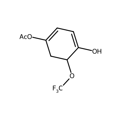 CC(=O)OC1=CC=C(O)C(OC(F)(F)F)C1